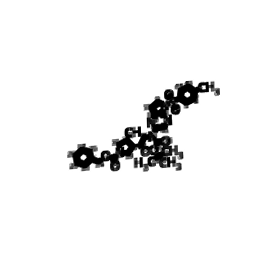 Cc1ccc(S(=O)(=O)n2ccc3nc(N(CC(=O)[C@H]4CN(C(=O)OCc5ccccc5)C[C@H]4C)C(=O)OC(C)(C)C)cnc32)cc1